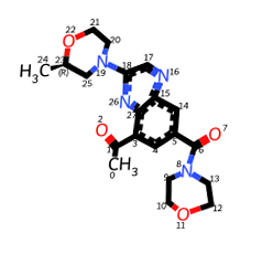 CC(=O)c1cc(C(=O)N2CCOCC2)cc2ncc(N3CCO[C@H](C)C3)nc12